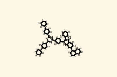 c1ccc(-c2ccc(-c3nc(-c4ccc(-c5ccccc5)cc4)nc(-c4ccc(-c5nc6cc(-c7cccc8ccccc78)ccc6c6oc7ccccc7c56)cc4)n3)cc2)cc1